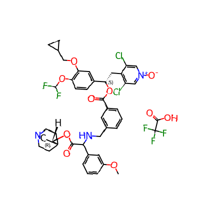 COc1cccc(C(NCc2cccc(C(=O)O[C@@H](Cc3c(Cl)c[n+]([O-])cc3Cl)c3ccc(OC(F)F)c(OCC4CC4)c3)c2)C(=O)O[C@H]2CN3CCC2CC3)c1.O=C(O)C(F)(F)F